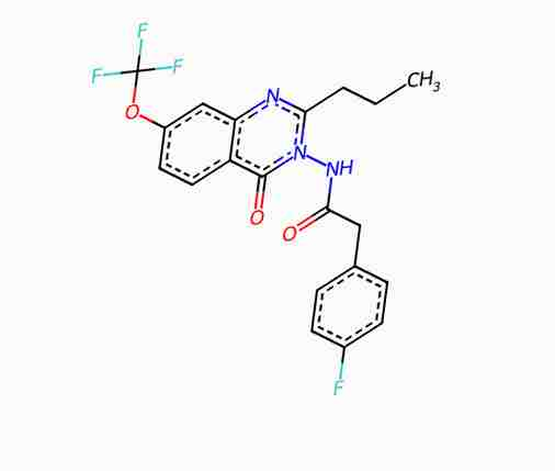 CCCc1nc2cc(OC(F)(F)F)ccc2c(=O)n1NC(=O)Cc1ccc(F)cc1